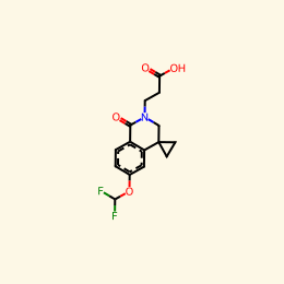 O=C(O)CCN1CC2(CC2)c2cc(OC(F)F)ccc2C1=O